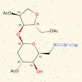 CC(=O)OC[C@H]1OC[C@H](OC(C)=O)[C@@H]1O[C@@H]1C[C@@H](OC(C)=O)[C@H](O)[C@H](CN=[N+]=[N-])O1